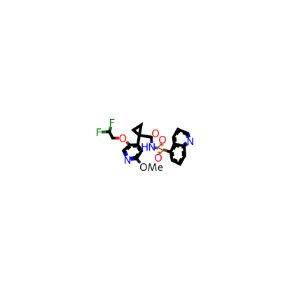 COc1cc(C2(C(=O)NS(=O)(=O)c3cccc4ncccc34)CC2)c(OCC(F)F)cn1